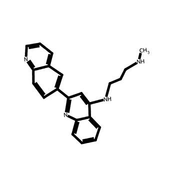 CNCCCNc1cc(-c2ccc3ncccc3c2)nc2ccccc12